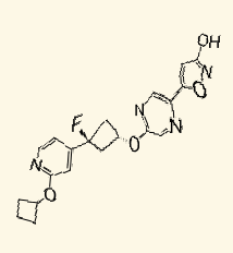 Oc1cc(-c2cnc(O[C@H]3C[C@@](F)(c4ccnc(OC5CCC5)c4)C3)cn2)on1